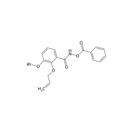 C=CCOc1c(OC(C)C)cccc1C(=O)NOC(=O)c1ccccc1